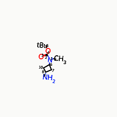 CN(C(=O)OC(C)(C)C)[C@H]1C[C@H](N)C1